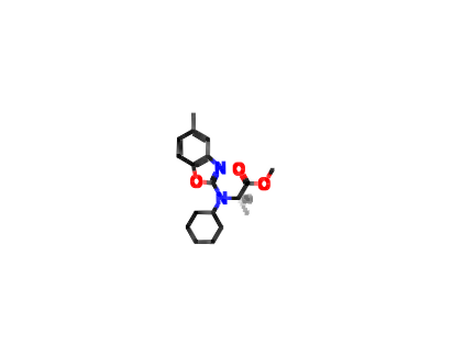 COC(=O)[C@H](C)N(c1nc2cc(C)ccc2o1)C1CCCCC1